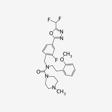 COc1ccccc1CCN(Cc1ccc(-c2nnc(C(F)F)o2)cc1F)C(=O)N1CCN(C)CC1